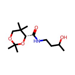 CC(O)CCNC(=O)[C@@H]1OC(C)(C)OCC1(C)C